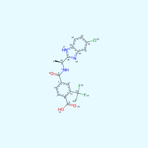 C[C@H](NC(=O)c1ccc(C(=O)O)c(C(F)(F)F)c1)c1nc2cc(Cl)ccc2[nH]1